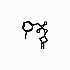 O=S(=O)(Cc1cccc(I)c1)OC1CNC1